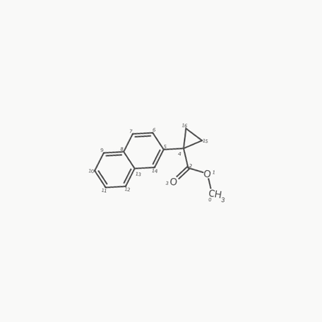 COC(=O)C1(c2ccc3ccccc3c2)CC1